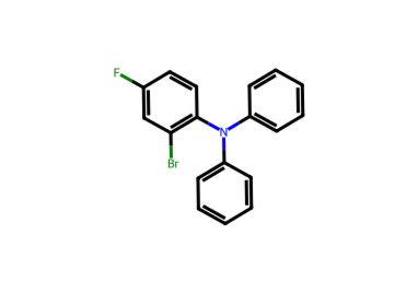 Fc1ccc(N(c2ccccc2)c2ccccc2)c(Br)c1